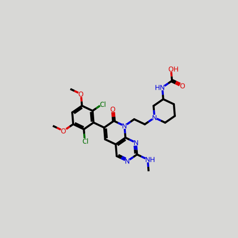 CNc1ncc2cc(-c3c(Cl)c(OC)cc(OC)c3Cl)c(=O)n(CCN3CCCC(NC(=O)O)C3)c2n1